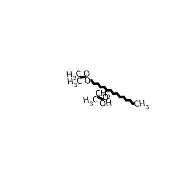 C=C(C)C(=O)O.C=C(C)C(=O)OCCCCCCCCCCCCCCC